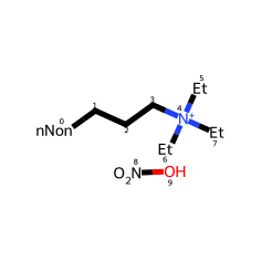 CCCCCCCCCCCC[N+](CC)(CC)CC.O=[N+]([O-])O